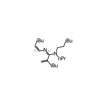 C=C(/C(=N\C=C/C(C)CC)N(CCC)CCC(C)CC)C(C)CC